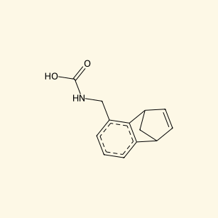 O=C(O)NCc1cccc2c1C1C=CC2C1